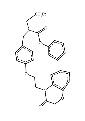 CCOC(=O)CN(Cc1ccc(OCCN2C(=O)COc3ccccc32)cc1)C(=O)Oc1ccccc1